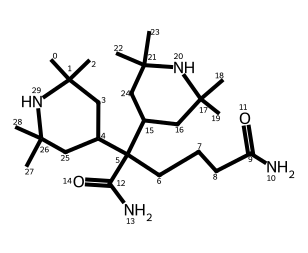 CC1(C)CC(C(CCCC(N)=O)(C(N)=O)C2CC(C)(C)NC(C)(C)C2)CC(C)(C)N1